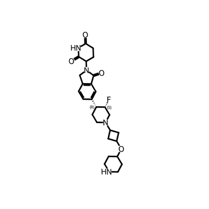 O=C1CCC(N2Cc3ccc([C@H]4CCN(C5CC(OC6CCNCC6)C5)C[C@H]4F)cc3C2=O)C(=O)N1